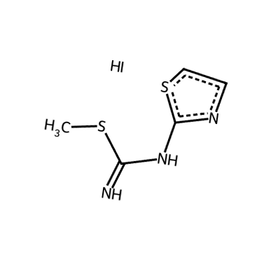 CSC(=N)Nc1nccs1.I